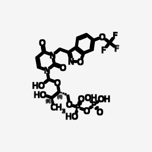 C[C@@H](O)[C@@H](COP(=O)(O)OP(=O)(O)O)OC(O)n1ccc(=O)n(Cc2noc3cc(OC(F)(F)F)ccc23)c1=O